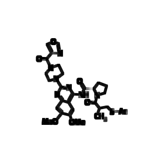 COc1cc2nc(N3CCN(C(=O)c4cocn4)CC3)nc(NC(=O)[C@@H]3CCCN3C(=O)C(C)CSC(C)=O)c2cc1OC